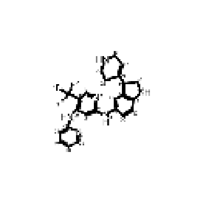 FC(F)(F)c1cnc(Nc2ccc3c(c2)C(C2=CCNCC2)CN3)cc1Nc1ccccn1